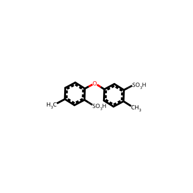 Cc1ccc(Oc2ccc(C)c(S(=O)(=O)O)c2)c(S(=O)(=O)O)c1